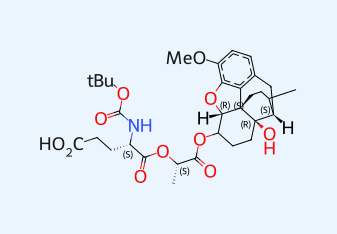 COc1ccc2c3c1O[C@H]1C(OC(=O)[C@H](C)OC(=O)[C@H](CCC(=O)O)NC(=O)OC(C)(C)C)CC[C@@]4(O)[C@@H](C2)C(C)CC[C@]314